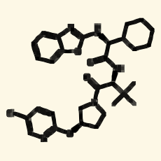 CC(C)(C)[C@H](NC(=O)[C@@H](Nc1nc2ccccc2o1)C1CCCCC1)C(=O)N1CC[C@@H](Oc2ccc(Cl)cn2)C1